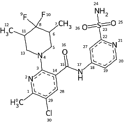 Cc1nc(N2CC(C)C(F)(F)C(C)C2)c(C(=O)Nc2ccnc(S(N)(=O)=O)c2)cc1Cl